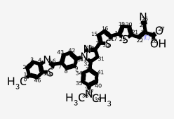 Cc1ccc2nc(-c3ccc(N4N=C(c5ccc(-c6ccc(/C=C(\C#N)C(=O)O)s6)s5)CC4c4ccc(N(C)C)cc4)cc3)sc2c1